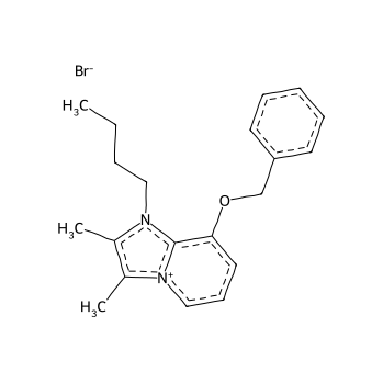 CCCCn1c(C)c(C)[n+]2cccc(OCc3ccccc3)c12.[Br-]